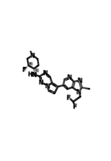 Cc1nc2ncc(-c3ccn4nc(N[C@H]5CCN(C)C[C@H]5F)ncc34)cc2n1CC(F)F